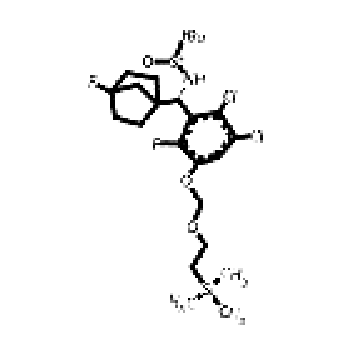 CC(C)(C)[S+]([O-])N[C@H](c1c(F)c(OCOCC[Si](C)(C)C)cc(Cl)c1Cl)C12CCC(F)(CC1)C2